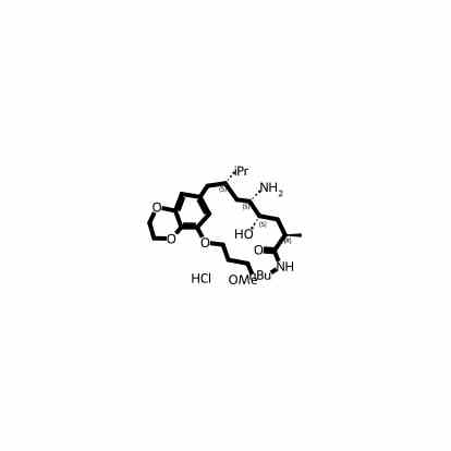 CCCCNC(=O)[C@H](C)C[C@H](O)[C@@H](N)C[C@H](Cc1cc(OCCCOC)c2c(c1)OCCO2)C(C)C.Cl